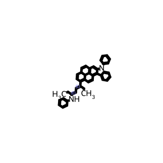 CC/C(=C\C=C(/CC)C1=C2C=Cc3c4c(cc5c3c3ccccc3n5-c3ccccc3)C=CC(C=C1)C24)Nc1ccccc1